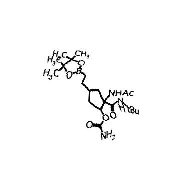 CC(=O)NC1(C(=O)NC(C)(C)C)CC(CCB2OC(C)(C)C(C)(C)O2)CC1OC(N)=O